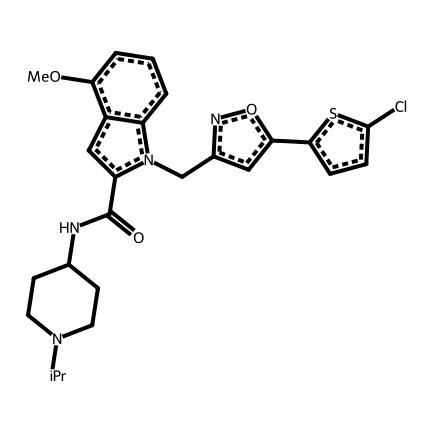 COc1cccc2c1cc(C(=O)NC1CCN(C(C)C)CC1)n2Cc1cc(-c2ccc(Cl)s2)on1